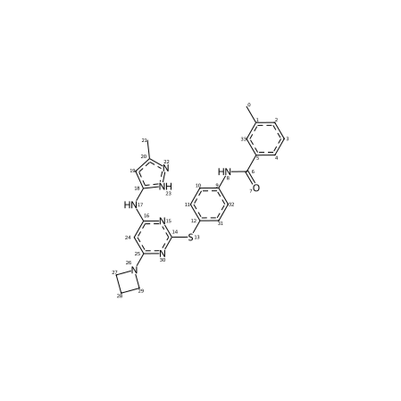 Cc1cccc(C(=O)Nc2ccc(Sc3nc(Nc4cc(C)n[nH]4)cc(N4CCC4)n3)cc2)c1